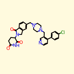 O=C1CCC(N2Cc3cc(CN4CCN(Cc5cnccc5-c5ccc(Cl)cc5)CC4)ccc3C2=O)C(=O)N1